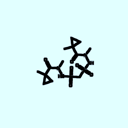 CN(NS(=O)(=O)CS(=O)(=O)NN(C)C(=O)C1(C)CC1)C(=O)C1(C)CC1